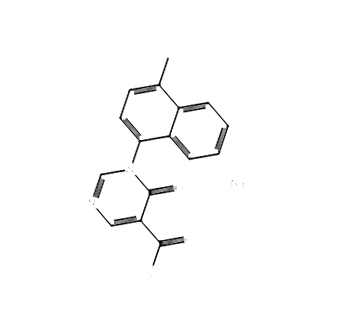 Cc1ccc(-n2cncc(C(=O)[O-])c2=O)c2ccccc12.[Na+]